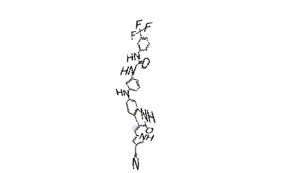 N#Cc1c[nH]c(/C=C2\C(=O)Nc3cc(Nc4cccc(NC(=O)Nc5cccc(C(F)(F)F)c5)c4)ccc32)c1